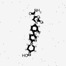 NC(=O)[C@H]1CN(c2ccc(-c3ccc(N4CCC(=NO)CC4)nc3)c(F)c2)C(=O)O1